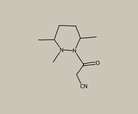 CC1CCC(C)N(C(=O)CC#N)N1C